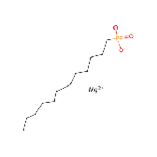 CCCCCCCCCCCCP(=O)([O-])[O-].[Mg+2]